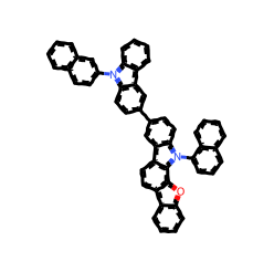 c1ccc2cc(-n3c4ccccc4c4cc(-c5ccc6c(c5)c5ccc7c8ccccc8oc7c5n6-c5cccc6ccccc56)ccc43)ccc2c1